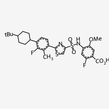 COc1cc(C(=O)O)c(F)cc1NS(=O)(=O)c1csc(-c2ccc(C3CCC(C(C)(C)C)CC3)c(F)c2C)n1